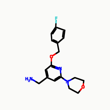 NCc1cc(OCc2ccc(F)cc2)nc(N2CCOCC2)c1